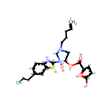 C=CCCCN1CC(OC(=O)c2ccc(I)o2)[N+]([O-])(c2nc3ccc(CCCl)cc3s2)C1